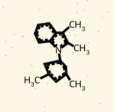 Cc1cc(C)cc(-n2c(C)c(C)c3ccccc32)c1